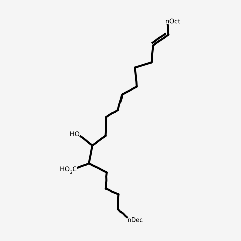 CCCCCCCCC=CCCCCCCCC(O)C(CCCCCCCCCCCCCC)C(=O)O